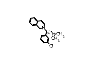 CN(C)C[C@H](c1cccc(Cl)c1)N1C=Cc2ccccc2C1